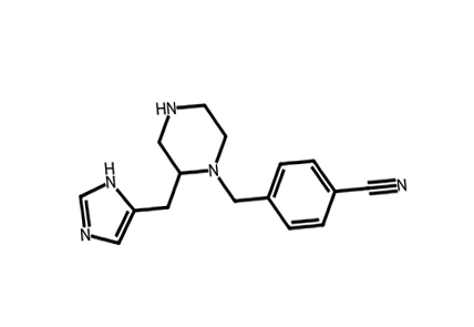 N#Cc1ccc(CN2CCNCC2Cc2cnc[nH]2)cc1